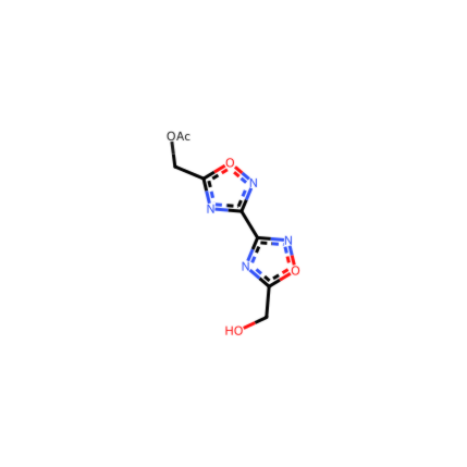 CC(=O)OCc1nc(-c2noc(CO)n2)no1